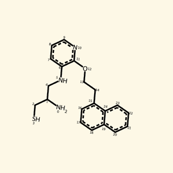 NC(CS)CNc1cccnc1OCCc1cccc2ccccc12